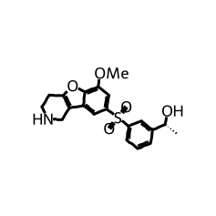 COc1cc(S(=O)(=O)c2cccc([C@@H](C)O)c2)cc2c3c(oc12)CCNC3